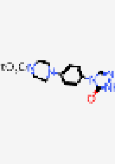 CCOC(=O)N1CCN(c2ccc(-n3cn[nH]c3=O)cc2)CC1